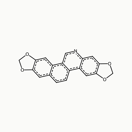 c1cc2c3cc4c(cc3ncc2c2cc3c(cc12)OCO3)OCO4